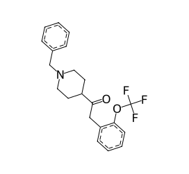 O=C(Cc1ccccc1OC(F)(F)F)C1CCN(Cc2ccccc2)CC1